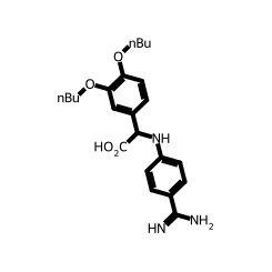 CCCCOc1ccc(C(Nc2ccc(C(=N)N)cc2)C(=O)O)cc1OCCCC